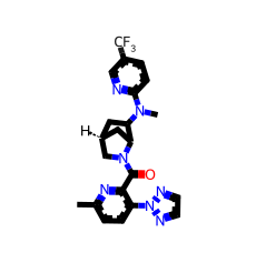 Cc1ccc(-n2nccn2)c(C(=O)N2C[C@@H]3CC2C(N(C)c2ccc(C(F)(F)F)cn2)C3)n1